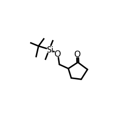 CC(C)(C)[Si](C)(C)OCC1CCCC1=O